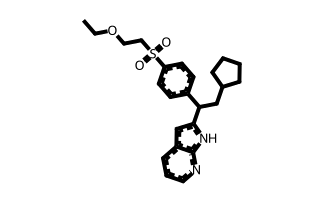 CCOCCS(=O)(=O)c1ccc(C(CC2CCCC2)c2cc3cccnc3[nH]2)cc1